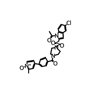 CC(=O)n1c(S(=O)(=O)N2CCN(C(=O)c3ccc(-c4cc[n+]([O-])c(C)c4)cc3)CC2)cc2cc(Cl)ccc21